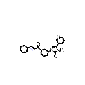 O=C(/C=C/c1ccccc1)c1cccc(-n2cc(-c3cccnc3)[nH]c2=O)c1